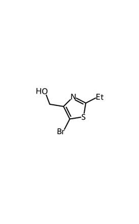 CCc1nc(CO)c(Br)s1